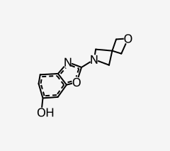 Oc1ccc2nc(N3CC4(COC4)C3)oc2c1